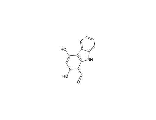 O=CC1c2[nH]c3ccccc3c2C(O)=CN1O